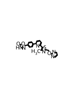 Cc1nc(COc2ncccn2)sc1-c1cccc(-c2ccc(-c3n[nH]c(=O)o3)cc2)n1